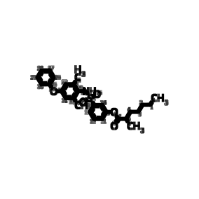 CCCCCC(C)C(=O)Oc1cccc(S(=O)(=O)Nc2c(C)cc(Oc3ccccc3)cc2C)c1